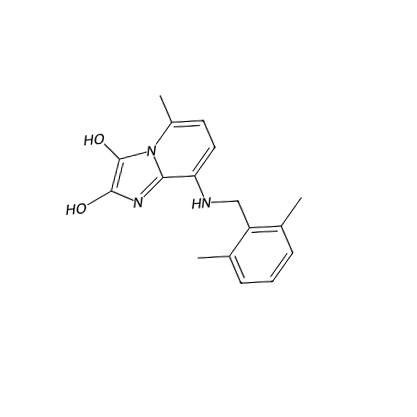 Cc1cccc(C)c1CNc1ccc(C)n2c(O)c(O)nc12